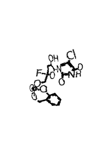 O=c1[nH]c(=O)n([C@@H]2O[C@](F)(COP3(=O)OCc4ccccc4O3)C[C@H]2O)cc1Cl